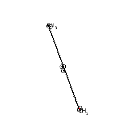 COC(=O)CCCCCCCCCCCCCCCCCCCCCCCCCCCCCCCCCCC(=O)CCOC(=O)CCCCCCCCCCCCCCCCCCCCCCCCCCCCCCCCCCC(=O)OC